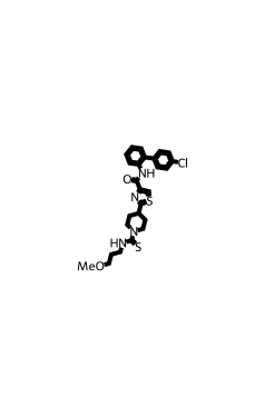 COCCCNC(=S)N1CCC(c2nc(C(=O)Nc3ccccc3-c3ccc(Cl)cc3)cs2)CC1